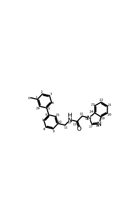 Cc1cccc(-c2cccc(CNC(=O)Cn3cnc4ccccc43)c2)c1